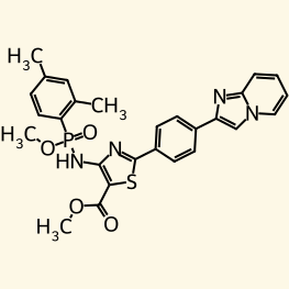 COC(=O)c1sc(-c2ccc(-c3cn4ccccc4n3)cc2)nc1NP(=O)(OC)c1ccc(C)cc1C